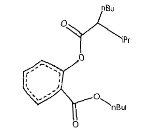 CCCCOC(=O)c1ccccc1OC(=O)C(CCCC)C(C)C